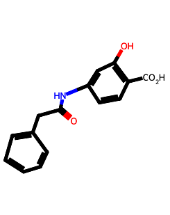 O=C(Cc1ccccc1)Nc1ccc(C(=O)O)c(O)c1